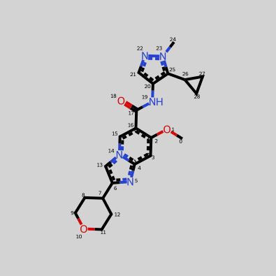 COc1cc2nc(C3CCOCC3)cn2cc1C(=O)Nc1cnn(C)c1C1CC1